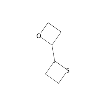 C1CC([C]2CCS2)O1